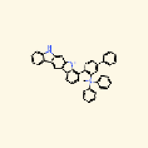 C[N+](c1ccccc1)(c1ccccc1)c1cc(-c2ccccc2)ccc1-c1cccc2c1[nH]c1cc3[nH]c4ccccc4c3cc12